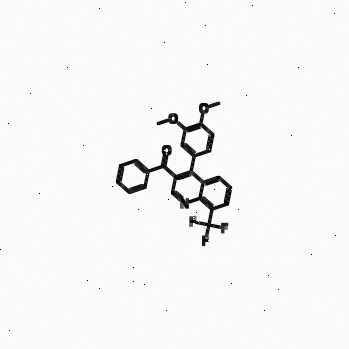 COc1ccc(-c2c(C(=O)c3ccccc3)cnc3c(C(F)(F)F)cccc23)cc1OC